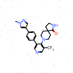 Cn1cc(-c2ccc(-c3cncc(C(F)(F)F)c3N3CCC4(CCNC4=O)CC3)cc2)cn1